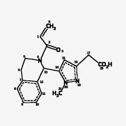 C=CC(=O)N1CCc2ccccc2C1c1cc(CC(=O)O)nn1C